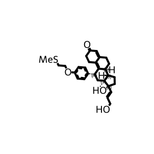 CSCCOc1ccc([C@H]2C[C@@]3(C)[C@@H](CC[C@@]3(O)C=CCO)[C@@H]3CCC4=CC(=O)CCC4=C32)cc1